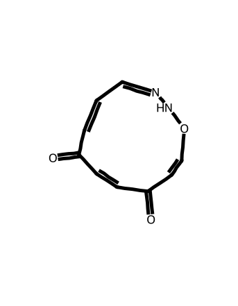 O=C1C=CC=NNOC=CC(=O)C=C1